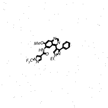 CCn1cc(-c2ncnc3cc(OC)c(NC(=O)c4cnn(C(F)(F)F)c4)cc23)c(-c2ccccc2)n1